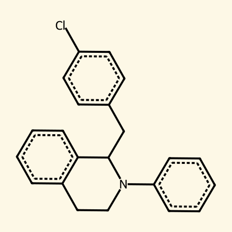 Clc1ccc(CC2c3ccccc3CCN2c2ccccc2)cc1